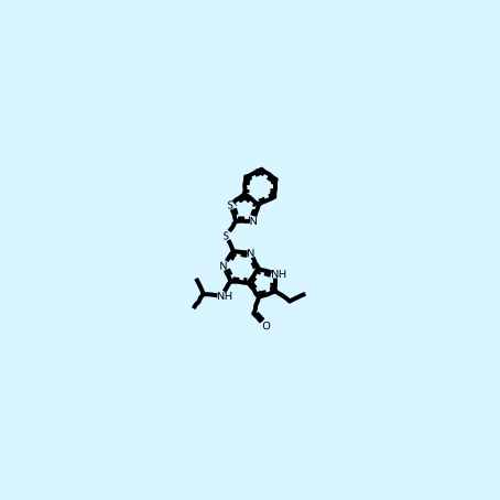 CCc1[nH]c2nc(Sc3nc4ccccc4s3)nc(NC(C)C)c2c1C=O